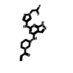 C=CC(=O)N1CCC[C@@H](Nc2nc(Nc3cnn(CC(F)F)c3)nc3[nH]ncc23)C1